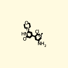 CN1C=C(N)C=C(c2cc(N3CCOCC3)[nH]c(=O)c2)C1Cl